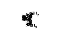 C=CC(=O)N1CCN(c2nc(OCCN(C)C3CCCCC3)nc3c2CCN(c2cccc4cccc(Cl)c24)C3)C[C@@H]1CC#N